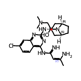 C/C(N)=C/C(=N)Nc1nc(N[C@@H]2C[C@H]3CC[C@@H](C2)N3C(O)CN(C)C)nc2cc(Cl)ccc12